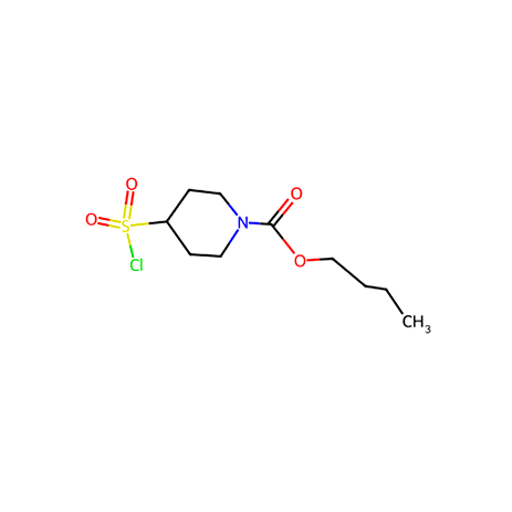 CCCCOC(=O)N1CCC(S(=O)(=O)Cl)CC1